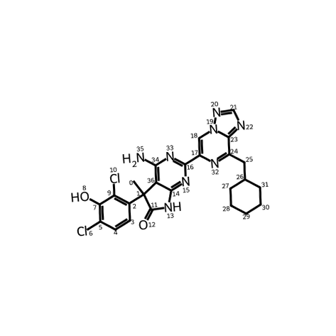 CC1(c2ccc(Cl)c(O)c2Cl)C(=O)Nc2nc(-c3cn4ncnc4c(CC4CCCCC4)n3)nc(N)c21